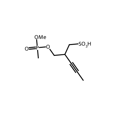 CC#CC(COP(C)(=O)OC)CS(=O)(=O)O